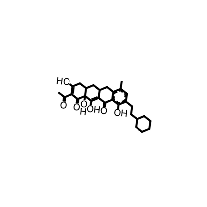 CC(=O)C1=C(O)CC2CC3Cc4c(C)cc(CCC5CCCCC5)c(O)c4C(=O)C3=C(O)C2(O)C1=O